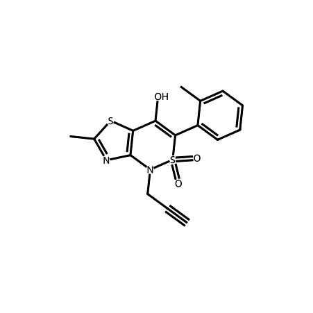 C#CCN1c2nc(C)sc2C(O)=C(c2ccccc2C)S1(=O)=O